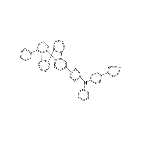 c1ccc(-c2ccc(N(c3ccccc3)c3ccc(-c4ccc5c(c4)-c4ccccc4C54c5ccccc5-c5c(-c6ccccc6)cccc54)cc3)cc2)cc1